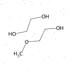 COCCO.OCCO